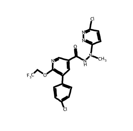 CN(NC(=O)c1cnc(OCC(F)(F)F)c(-c2ccc(Cl)cc2)c1)c1ccc(Cl)nn1